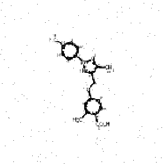 Cc1cc(OCc2nn(-c3ccc(C(F)(F)F)cc3)nc2C)ccc1C(=O)O